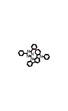 C1=Cc2c(c3c(ccc4c5ccccc5n(-c5nc(-c6ccccc6)nc(-c6ccccc6)n5)c43)n2-c2ccccc2)CC1